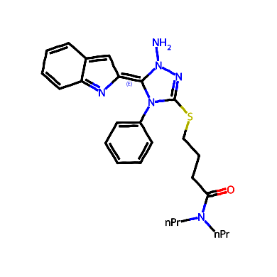 CCCN(CCC)C(=O)CCCSC1=NN(N)/C(=C2\C=c3ccccc3=N2)N1c1ccccc1